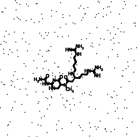 CN(C(=O)C[C@H](CCCNC(=N)N)NCCCCNC(=N)N)C1CNC(NC(N)=O)=NC1=O